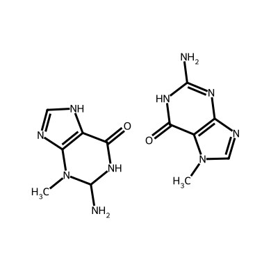 CN1c2nc[nH]c2C(=O)NC1N.Cn1cnc2nc(N)[nH]c(=O)c21